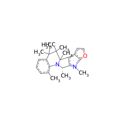 Cc1cccc2c1N1[C@@H](C)c3c(c4ccoc4n3C)C1(C)C(C)(C)C2(C)C